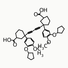 COc1ccc(C2(C#CC#CC3(c4ccc(OC)c(OC5CCCC5)c4)CCCC(C(=O)O)C3)CCCC(C(=O)O)C2)cc1OC1CCCC1